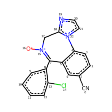 N#Cc1ccc2c(c1)C(c1ccccc1Cl)=[N+]([O-])Cc1nccn1-2